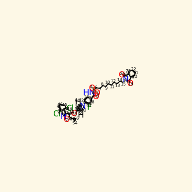 O=C(NS(=O)(=O)CCCCCCCCCCN1C(=O)c2ccccc2C1=O)c1ccc(N2C[C@@H]3C[C@H]2C[C@H]3OCc2c(-c3c(Cl)cccc3Cl)noc2C2CC2)c(F)c1